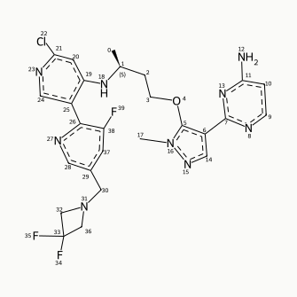 C[C@@H](CCOc1c(-c2nccc(N)n2)cnn1C)Nc1cc(Cl)ncc1-c1ncc(CN2CC(F)(F)C2)cc1F